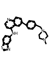 CN1CCN(Cc2ccc(-c3ccc4nccc(Nc5ccc6scnc6c5)c4c3)cc2)CC1